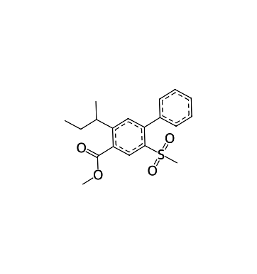 CCC(C)c1cc(-c2ccccc2)c(S(C)(=O)=O)cc1C(=O)OC